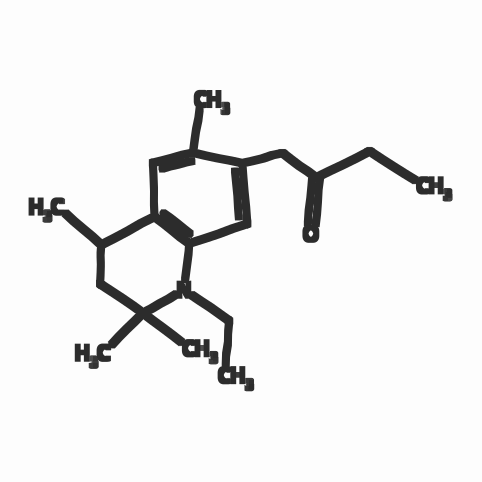 CCC(=O)Cc1cc2c(cc1C)C(C)CC(C)(C)N2CC